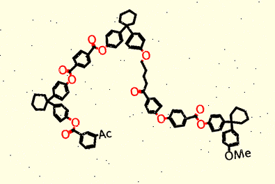 COc1ccc(C2(c3ccc(OC(=O)c4ccc(Oc5ccc(C(=O)CCCCOc6ccc(C7(c8ccc(OC(=O)c9ccc(C(=O)Oc%10ccc(C%11(c%12ccc(OC(=O)c%13cccc(C(C)=O)c%13)cc%12)CCCCC%11)cc%10)cc9)cc8)CCCCC7)cc6)cc5)cc4)cc3)CCCCC2)cc1